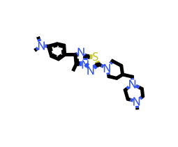 Cc1c(-c2ccc(N(C)C)cc2)nc2sc(N3CCC(CN4CCN(C)CC4)CC3)nn12